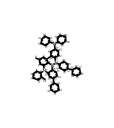 Cc1cc2c3c(c1)N(c1ccccc1C)c1cc(-c4ccccc4)ccc1B3N(c1ccc(-c3ccccc3)cc1)c1ccc(N(c3ccccc3)c3ccccc3)cc1-2